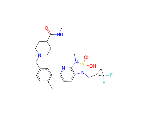 CNC(=O)C1CCN(Cc2ccc(C)c(-c3ccc4c(n3)N(C)S(O)(O)N4CC3CC3(F)F)c2)CC1